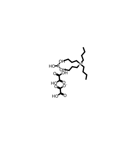 CCCC[N+](CCCC)(CCCC)CCCC.O=C(O)C(=O)O.O=C([O-])C(=O)O.OB(O)O